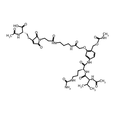 CNC(=O)OCc1ccc(NC(=O)[C@H](CCCNC(N)=O)NC(=O)[C@@H](NC(C)=O)C(C)C)cc1OCC(=O)NCCCNC(=O)CCN1C(=O)C=C(SC[C@H](NC(C)=O)C(=O)O)C1=O